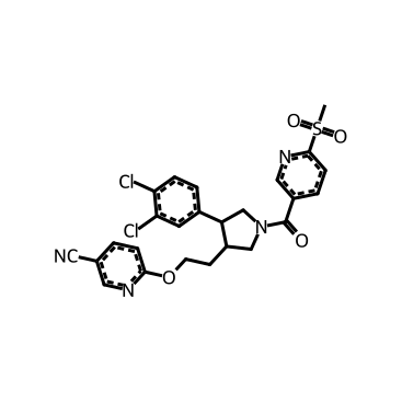 CS(=O)(=O)c1ccc(C(=O)N2CC(CCOc3ccc(C#N)cn3)C(c3ccc(Cl)c(Cl)c3)C2)cn1